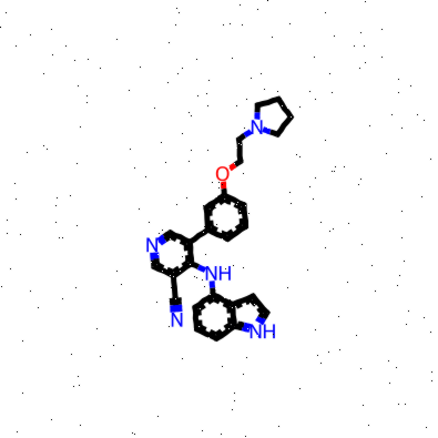 N#Cc1cncc(-c2cccc(OCCN3CCCC3)c2)c1Nc1cccc2[nH]ccc12